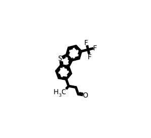 CC(CC=O)c1ccc2sc3ccc(C(F)(F)F)cc3c2c1